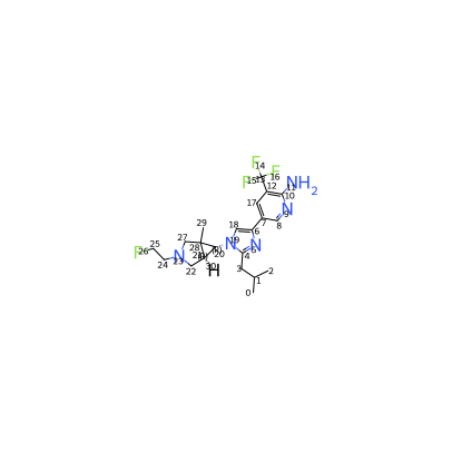 CC(C)Cc1nc(-c2cnc(N)c(C(F)(F)F)c2)cn1[C@@H]1[C@H]2CN(CCF)CC21C